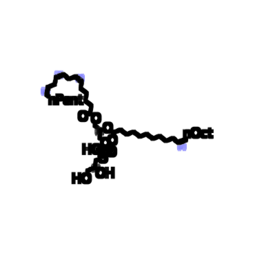 CCCCC/C=C\C/C=C\C/C=C\CCCCC(=O)OC[C@H](COP(=O)(O)OC[C@@H](O)CO)OC(=O)CCCCCCCCC/C=C\CCCCCCCC